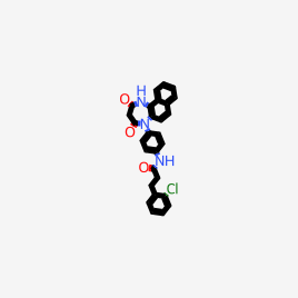 O=C(CCc1ccccc1Cl)Nc1ccc(N2C(=O)CC(=O)Nc3c2ccc2ccccc32)cc1